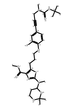 COC(=O)c1nc(N(C)C2CCOC(C)(C)O2)sc1CCCOc1ccc(C#CCN(C)C(=O)OC(C)(C)C)cc1F